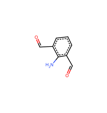 Nc1c(C=O)cccc1C=O